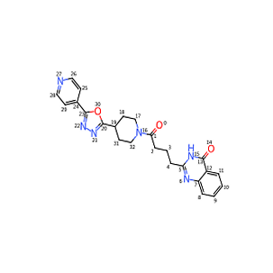 O=C(CCCc1nc2ccccc2c(=O)[nH]1)N1CCC(c2nnc(-c3ccncc3)o2)CC1